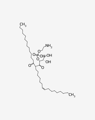 CCCCCCCC/C=C\CCCCCCC(C(=O)CCCCCCCCCCCCC)C(=O)C(OP(=O)(O)OCCN)[C@@H](O)CO